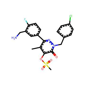 Cc1c(-c2ccc(F)c(CN)c2)nn(Cc2ccc(Cl)cc2)c(=O)c1OS(C)(=O)=O